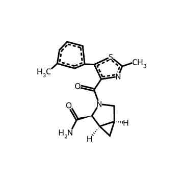 Cc1cccc(-c2sc(C)nc2C(=O)N2C[C@H]3C[C@H]3[C@H]2C(N)=O)c1